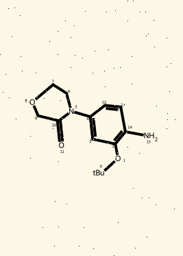 CC(C)(C)Oc1cc(N2CCOCC2=O)ccc1N